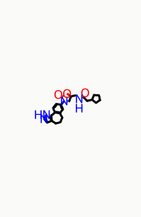 O=C(CC1CCCC1)NCC1CN(c2ccc3c(c2)CCCc2cn[nH]c2-3)C(=O)O1